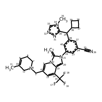 C=C1N2C=C(CN3CCC=C(C)C3)C=C(C(F)(F)F)C2=CN1c1cc(C#N)cc(C(c2nncn2C)C2CCC2)c1